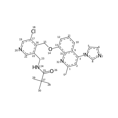 Cc1cc(-n2ccnc2)c2cccc(OCc3c(Cl)cncc3CNC(=O)C(C)(C)C)c2n1